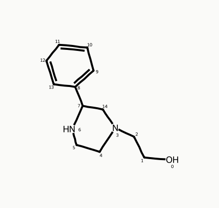 OCCN1CCNC(c2ccccc2)C1